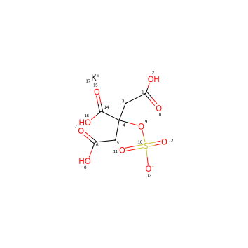 O=C(O)CC(CC(=O)O)(OS(=O)(=O)[O-])C(=O)O.[K+]